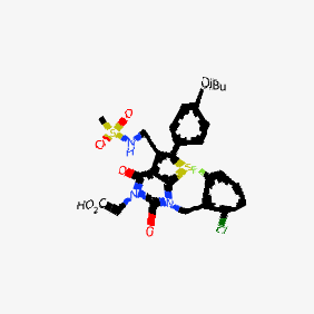 CC(C)COc1ccc(-c2sc3c(c2CNS(C)(=O)=O)c(=O)n(CC(=O)O)c(=O)n3Cc2c(F)cccc2Cl)cc1